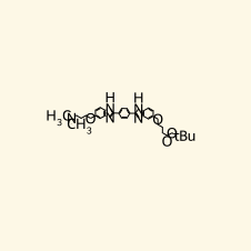 CN(C)CCCOc1ccc2[nH]c(-c3ccc(-c4nc5cc(OCCCC(=O)OC(C)(C)C)ccc5[nH]4)cc3)nc2c1